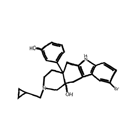 Oc1cccc(C23CCN(CC4CC4)CC2(O)Cc2c([nH]c4ccc(Br)cc24)C3)c1